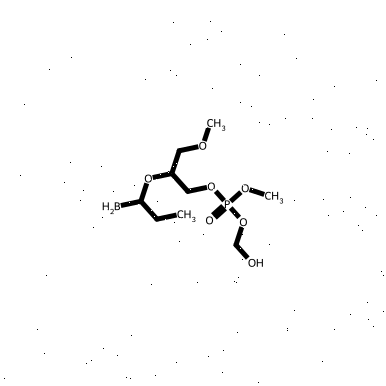 BC(CC)OC(COC)COP(=O)(OC)OCO